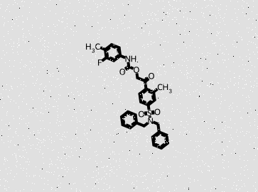 Cc1ccc(NC(=O)OCC(=O)c2ccc(S(=O)(=O)N(Cc3ccccc3)Cc3ccccc3)cc2C)cc1F